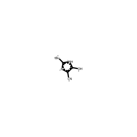 CC(C)(C)c1nc(C#N)c(O)[nH]1